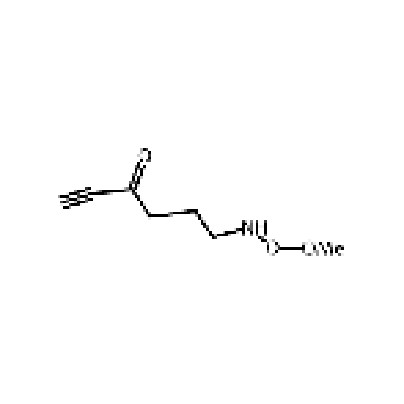 C#CC(=O)CCCNOOC